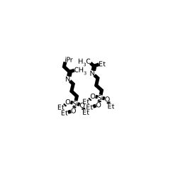 CCO[Si](CCC/N=C(/C)CC)(OCC)OCC.CCO[Si](CCC/N=C(\C)CC(C)C)(OCC)OCC